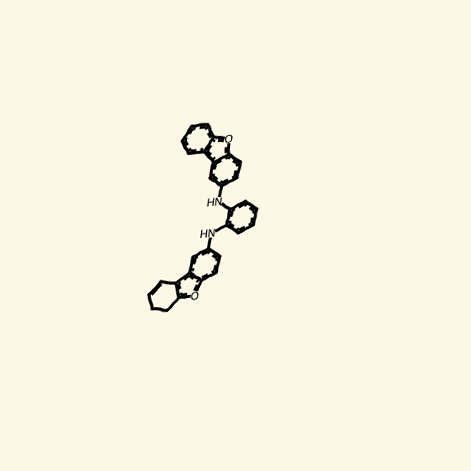 C1=Cc2c(oc3ccc(Nc4ccccc4Nc4ccc5oc6ccccc6c5c4)cc23)CC1